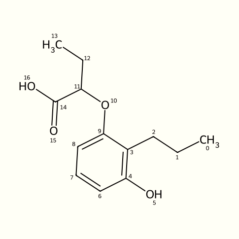 CCCc1c(O)cccc1OC(CC)C(=O)O